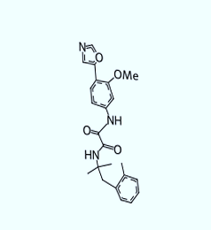 COc1cc(NC(=O)C(=O)NC(C)(C)Cc2ccccc2C)ccc1-c1cnco1